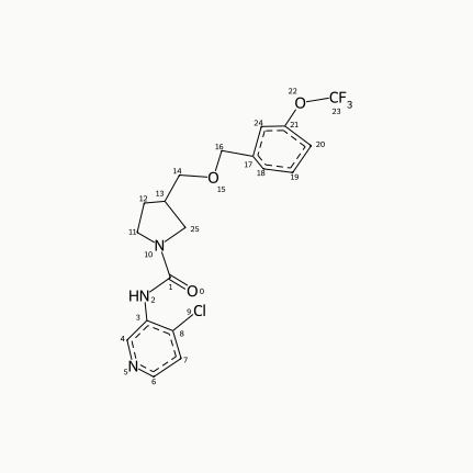 O=C(Nc1cnccc1Cl)N1CCC(COCc2cccc(OC(F)(F)F)c2)C1